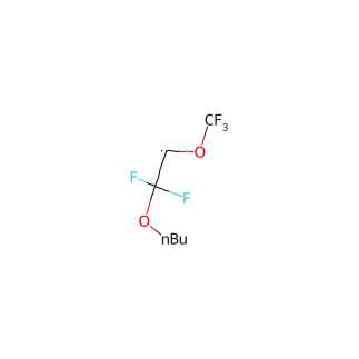 CCCCOC(F)(F)[CH]OC(F)(F)F